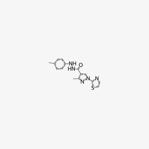 Cc1ccc(NNC(=O)c2cn(-c3nccs3)nc2C)cc1